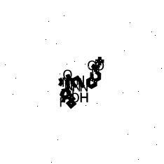 CC(C)n1c(=O)c2cnc(Nc3ccc4c(c3)CN(C(=O)OC(C)(C)C)CC4)nc2n1-c1ccc(F)c(C2(O)CCC2)n1